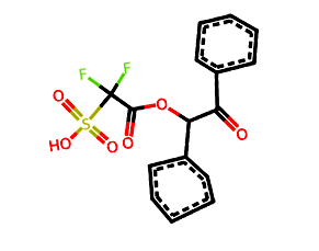 O=C(c1ccccc1)C(OC(=O)C(F)(F)S(=O)(=O)O)c1ccccc1